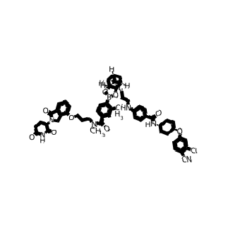 Cc1cc(C(=O)N(C)CCCOc2cccc3c2CN(C2CCC(=O)NC2=O)C3=O)ccc1B1O[C@H]2C[C@H]3C[C@H](C3(C)C)[C@@]2(CCCNc2ccc(C(=O)N[C@H]3CC[C@H](Oc4ccc(C#N)c(Cl)c4)CC3)cc2)O1